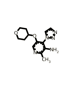 Cc1ncc(OC2CCOCC2)c(-n2ccnn2)c1N